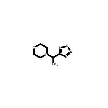 CC(C1=N[N]N=N1)N1CCOCC1